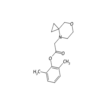 Cc1cccc(C)c1OC(=O)CN1CCOCC12CC2